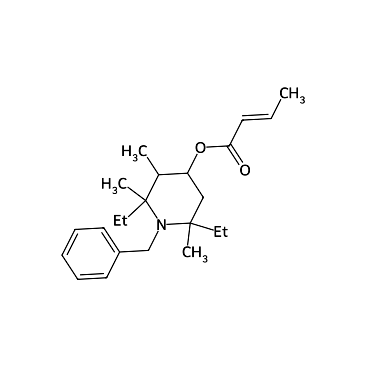 C/C=C/C(=O)OC1CC(C)(CC)N(Cc2ccccc2)C(C)(CC)C1C